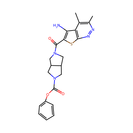 Cc1nnc2sc(C(=O)N3CC4CN(C(=O)Oc5ccccc5)CC4C3)c(N)c2c1C